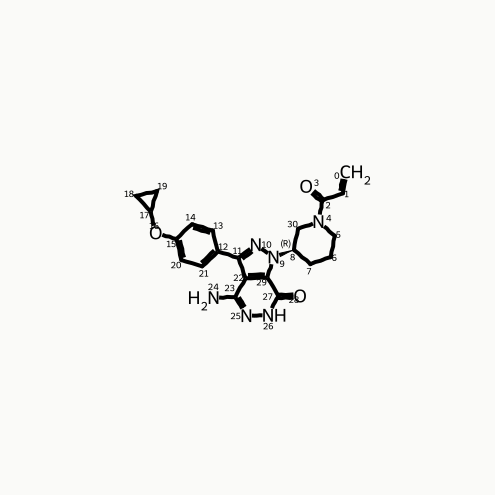 C=CC(=O)N1CCC[C@@H](n2nc(-c3ccc(OC4CC4)cc3)c3c(N)n[nH]c(=O)c32)C1